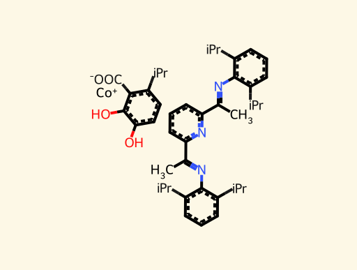 CC(=Nc1c(C(C)C)cccc1C(C)C)c1cccc(C(C)=Nc2c(C(C)C)cccc2C(C)C)n1.CC(C)c1ccc(O)c(O)c1C(=O)[O-].[Co+]